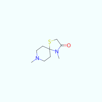 CN1CCC2(CC1)SCC(=O)N2C